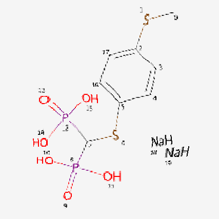 CSc1ccc(SC(P(=O)(O)O)P(=O)(O)O)cc1.[NaH].[NaH]